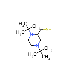 CC(C)(C)N1CCN(C(C)(C)C)C(CS)C1